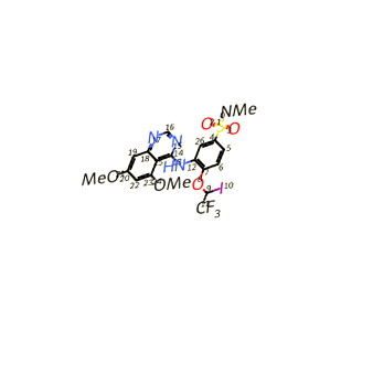 CNS(=O)(=O)c1ccc(OC(I)C(F)(F)F)c(Nc2ncnc3cc(OC)cc(OC)c23)c1